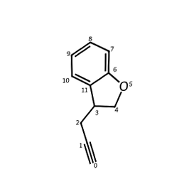 C#CCC1COc2ccccc21